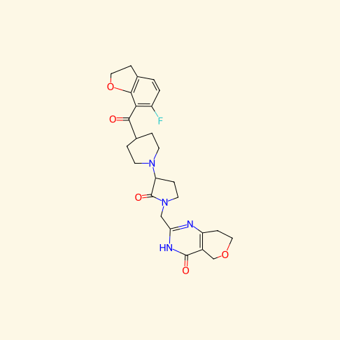 O=C(c1c(F)ccc2c1OCC2)C1CCN(C2CCN(Cc3nc4c(c(=O)[nH]3)COCC4)C2=O)CC1